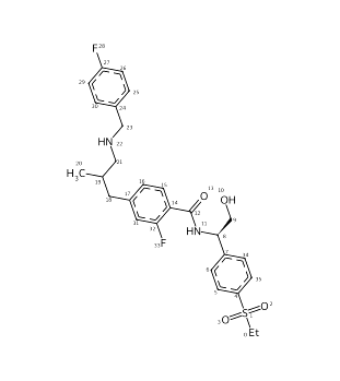 CCS(=O)(=O)c1ccc([C@H](CO)NC(=O)c2ccc(CC(C)CNCc3ccc(F)cc3)cc2F)cc1